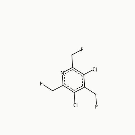 FCc1nc(CF)c(Cl)c(CF)c1Cl